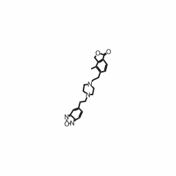 Cc1c(CCN2CCN(CCc3ccc4nonc4c3)CC2)ccc2c1COC2=O